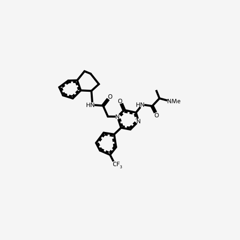 CNC(C)C(=O)Nc1ncc(-c2cccc(C(F)(F)F)c2)n(CC(=O)NC2CCCc3ccccc32)c1=O